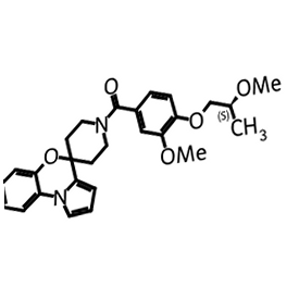 COc1cc(C(=O)N2CCC3(CC2)Oc2ccccc2-n2cccc23)ccc1OC[C@H](C)OC